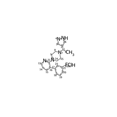 CC(c1cn[nH]c1)N1CCN(c2ncccc2-c2cccc(F)c2)CC1.Cl